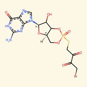 Nc1nc2c(ncn2[C@@H]2O[C@@H]3COP(=O)(SCC(=O)C(=O)CBr)OC3C2O)c(=O)[nH]1